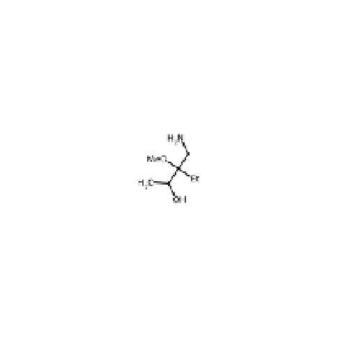 CCC(CN)(OC)C(C)O